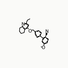 CCc1cc(OCc2ccc(-c3cc(OC)ccc3C#N)cc2)c2c(n1)CCCC2